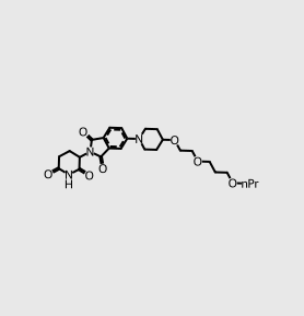 CCCOCCCOCCOC1CCN(c2ccc3c(c2)C(=O)N(C2CCC(=O)NC2=O)C3=O)CC1